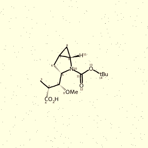 CO[C@H]([C@@H](C)C(=O)O)[C@@H]1CC2C[C@@H]2N1C(=O)OC(C)(C)C